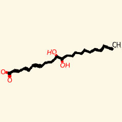 CCCCCCCCCCCC(O)C(O)CCC=CC=CC=CC(=O)O